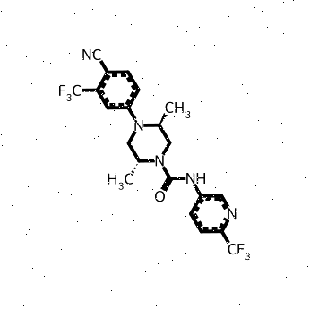 C[C@@H]1CN(c2ccc(C#N)c(C(F)(F)F)c2)[C@@H](C)CN1C(=O)Nc1ccc(C(F)(F)F)nc1